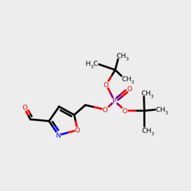 CC(C)(C)OP(=O)(OCc1cc(C=O)no1)OC(C)(C)C